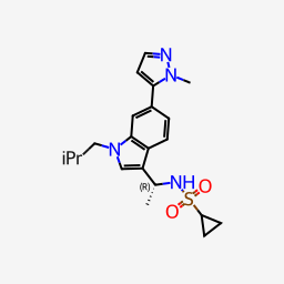 CC(C)Cn1cc([C@@H](C)NS(=O)(=O)C2CC2)c2ccc(-c3ccnn3C)cc21